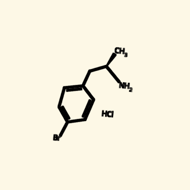 C[C@@H](N)Cc1ccc(Br)cc1.Cl